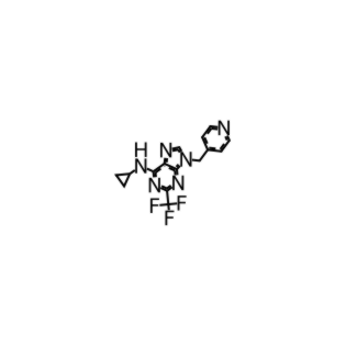 FC(F)(F)c1nc(NC2CC2)c2ncn(Cc3ccncc3)c2n1